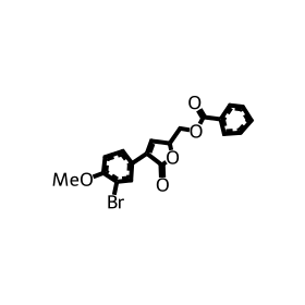 COc1ccc(C2=CC(COC(=O)c3ccccc3)OC2=O)cc1Br